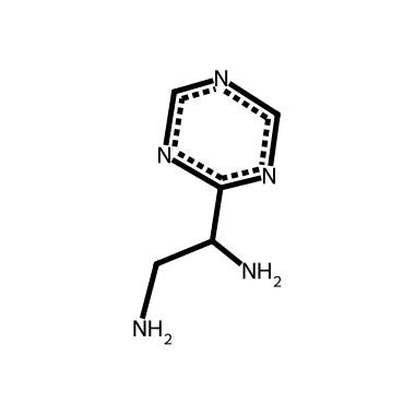 NCC(N)c1ncncn1